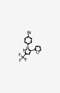 FC(F)(F)c1cc(-c2ccco2)n(-c2ccc(Br)cc2)n1